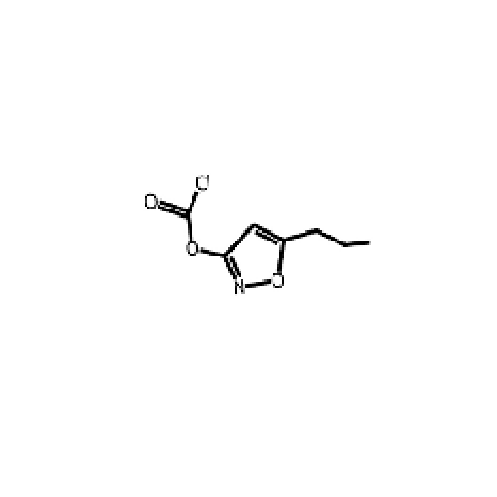 CCCc1cc(OC(=O)Cl)no1